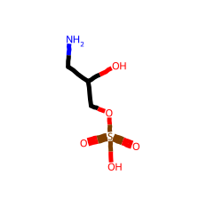 NCC(O)COS(=O)(=O)O